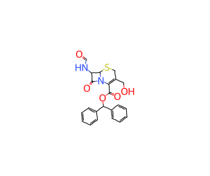 O=CNC1C(=O)N2C(C(=O)OC(c3ccccc3)c3ccccc3)=C(CO)CSC12